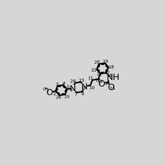 COc1ccc(N2CCN(CCC3OC(=O)Nc4ccccc43)CC2)cc1